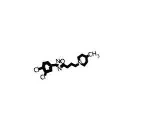 CC1CCN(CCCc2nc(-c3ccc(Cl)c(Cl)c3)no2)CC1